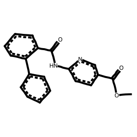 COC(=O)c1ccc(NC(=O)c2ccccc2-c2ccccc2)nc1